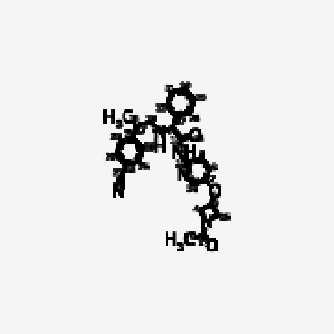 CC(=O)N1CC(Oc2ccc(NC(=O)C(NC[C@@H](C)c3ccc(C#N)cc3)c3ccccc3)nc2)C1